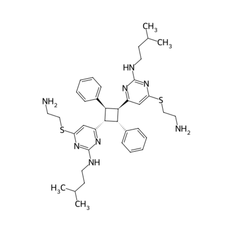 CC(C)CCNc1nc(SCCN)cc([C@H]2[C@H](c3ccccc3)[C@H](c3cc(SCCN)nc(NCCC(C)C)n3)[C@H]2c2ccccc2)n1